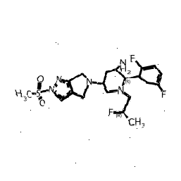 C[C@@H](F)CN1CC(N2Cc3cn(S(C)(=O)=O)nc3C2)CC(N)[C@H]1C1CC(F)=CC=C1F